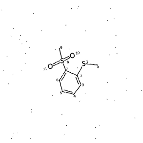 CSc1ccccc1S(C)(=O)=O